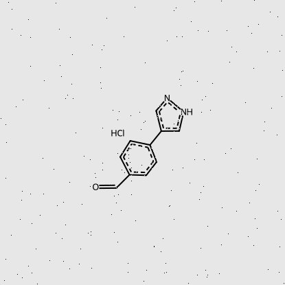 Cl.O=Cc1ccc(-c2cn[nH]c2)cc1